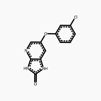 O=c1[nH]c2cc(Oc3cccc(Cl)c3)cnc2[nH]1